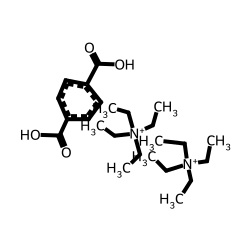 CC[N+](CC)(CC)CC.CC[N+](CC)(CC)CC.O=C(O)c1ccc(C(=O)O)cc1